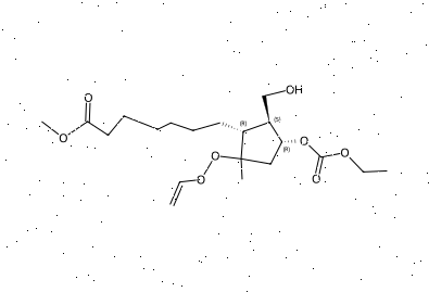 C=COOC1(C)C[C@@H](OC(=O)OCC)[C@H](CO)[C@H]1CCCCCCC(=O)OC